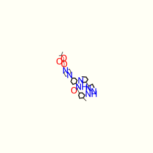 Cc1ccc(C(=O)Nc2ccc(N3CCN(COC(=O)OC(C)C)CC3)cc2)cc1Nc1nccc(-c2cccnc2)n1